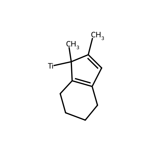 CC1=CC2=C(CCCC2)[C]1(C)[Ti]